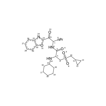 CCCC(NC(=O)C(CS(=O)(=O)CC1CC1)NC1CCCCC1)C(=O)c1nc2ccccc2o1